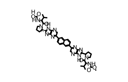 COC(=O)N[C@@H](C(=O)N1CCCC1c1nc2nc(-c3ccc4cc(-c5cnc6[nH]c([C@H]7CCCN7C(=O)[C@@H](NC(=O)O)C(C)C)nc6n5)ccc4c3)cnc2[nH]1)C(C)C